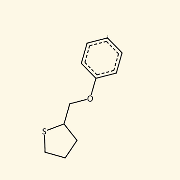 [c]1ccc(OCC2CCCS2)cc1